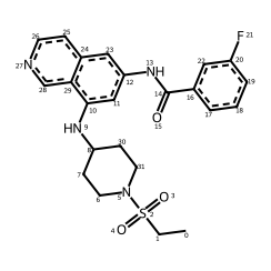 CCS(=O)(=O)N1CCC(Nc2cc(NC(=O)c3cccc(F)c3)cc3ccncc23)CC1